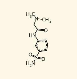 CN(C)CC(=O)Nc1cccc(S(N)(=O)=O)c1